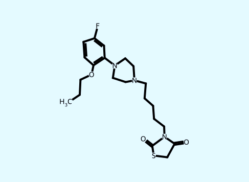 CCCOc1ccc(F)cc1N1CCN(CCCCCN2C(=O)CSC2=O)CC1